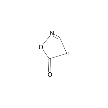 O=C1[C]C=NO1